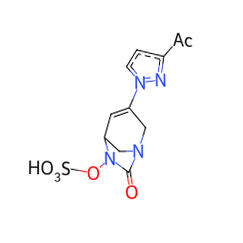 CC(=O)c1ccn(C2=CC3CN(C2)C(=O)N3OS(=O)(=O)O)n1